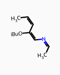 C\C=C/C(=C\N=C/C)OCC(C)C